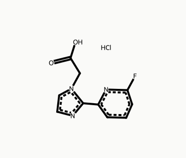 Cl.O=C(O)Cn1ccnc1-c1cccc(F)n1